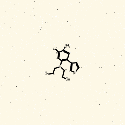 Nc1cc(-c2ccsc2)c(N(CCO)CCO)cc1Cl